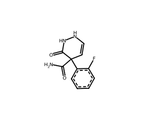 NC(=O)C1(c2ccccc2F)C=CNNC1=O